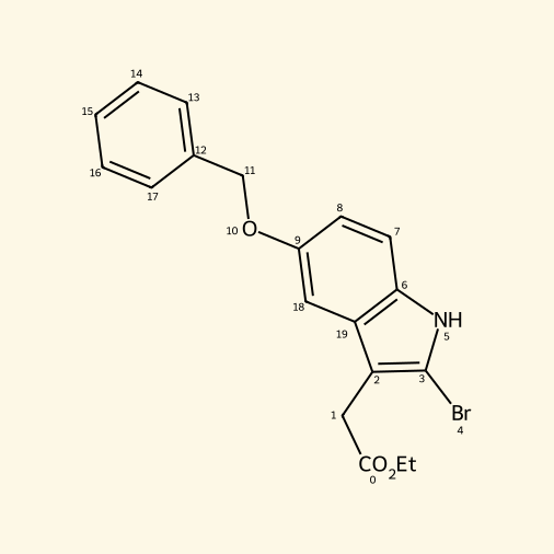 CCOC(=O)Cc1c(Br)[nH]c2ccc(OCc3ccccc3)cc12